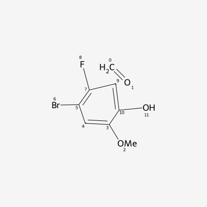 C=O.COc1cc(Br)c(F)cc1O